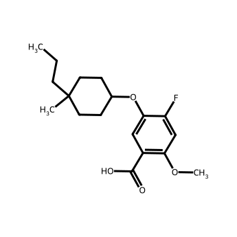 CCCC1(C)CCC(Oc2cc(C(=O)O)c(OC)cc2F)CC1